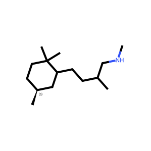 CNCC(C)CCC1C[C@@H](C)CCC1(C)C